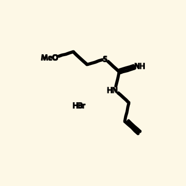 Br.C=CCNC(=N)SCCOC